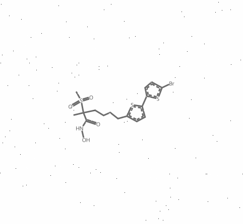 CC(CCCCc1ccc(-c2ccc(Br)s2)s1)(C(=O)NO)S(C)(=O)=O